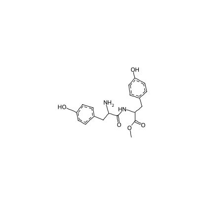 COC(=O)C(Cc1ccc(O)cc1)NC(=O)C(N)Cc1ccc(O)cc1